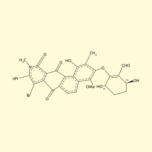 CCCc1c(Br)c2c(c(=O)n1C)C(=O)c1c(ccc3c(OC)c(OC4=C(C=O)[C@@H](O)CC[C@@H]4O)c(C)c(O)c13)C2=O